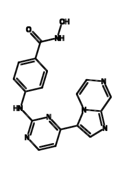 O=C(NO)c1ccc(Nc2nccc(-c3cnc4cnccn34)n2)cc1